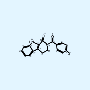 O=C(c1ccc(F)cc1)N1CCc2c([nH]c3ccccc23)C1=O